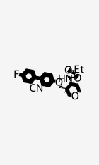 CCS(=O)(=O)N[C@H]1CCOC[C@@H]1COc1ccc(-c2ccc(F)cc2C#N)cc1